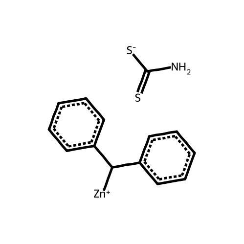 NC(=S)[S-].[Zn+][CH](c1ccccc1)c1ccccc1